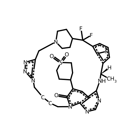 C[C@@H]1Nc2ncnc3c2cc(C2CCS(=O)(=O)CC2)c(=O)n3CCCCn2cc(nn2)CN2CCC(CC2)C(F)(F)c2cccc1c2F